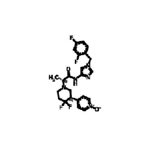 C[C@H](C(=O)Nc1cn(Cc2ccc(F)cc2F)cn1)N1CCC(F)(F)[C@H](c2cc[n+]([O-])cc2)C1